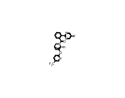 O=C(c1ccccc1-c1ncc(F)cn1)N1CC2CC[C@@H]1C(Oc1ccc(C(F)(F)F)cn1)C2